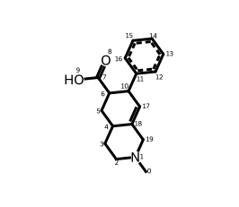 CN1CCC2CC(C(=O)O)C(c3ccccc3)C=C2C1